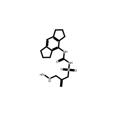 C=C(CNCCC)CS(=O)(=O)NC(=O)Nc1c2c(cc3c1CCC3)CCC2